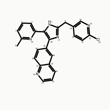 Cc1cccc(-c2[nH]c(Cc3ccc(Cl)nc3)nc2-c2ccc3ncccc3c2)n1